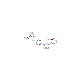 C=C(C)C(=O)Nc1ccc(N(C=O)/N=C/c2ccccc2O)cc1